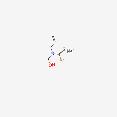 C=CCN(CO)C(=S)[S-].[Na+]